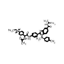 CCS(=O)(=O)c1ccc(C(NC(C)=O)C(=O)Nc2ccc(-c3nc4cc(C(=O)NC(C)C)ccc4n3[C@@H](C)c3ccc(C)cc3)cc2)cc1